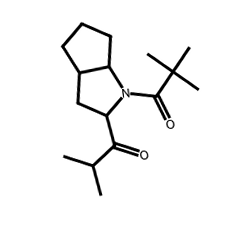 CC(C)C(=O)C1CC2CCCC2N1C(=O)C(C)(C)C